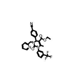 CCOC(=O)C1=C(C)N(c2cccc(C(F)(F)F)c2)C(=O)N(Cc2ccccn2)C1c1ccc(C#N)cc1